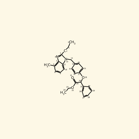 CCCc1nc2c(C)cccc2n1Cc1ccc(OC(C(=O)OCC)c2ccccc2)cc1